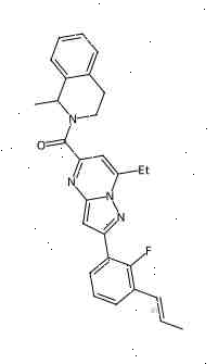 C/C=C/c1cccc(-c2cc3nc(C(=O)N4CCc5ccccc5C4C)cc(CC)n3n2)c1F